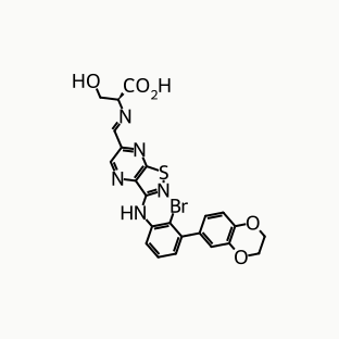 O=C(O)[C@H](CO)N=Cc1cnc2c(Nc3cccc(-c4ccc5c(c4)OCCO5)c3Br)nsc2n1